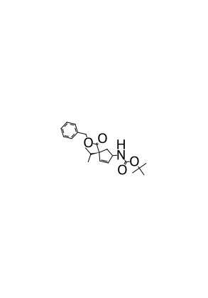 CC(C)[C@]1(C(=O)OCc2ccccc2)C=CC(NC(=O)OC(C)(C)C)C1